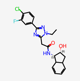 CCn1nc(-c2ccc(Cl)c(F)c2)nc1CC(=O)N[C@H]1C2C=CC=CC2C[C@H]1O